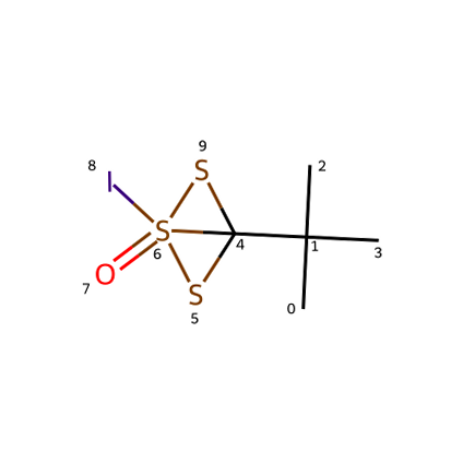 CC(C)(C)C12SS1(=O)(I)S2